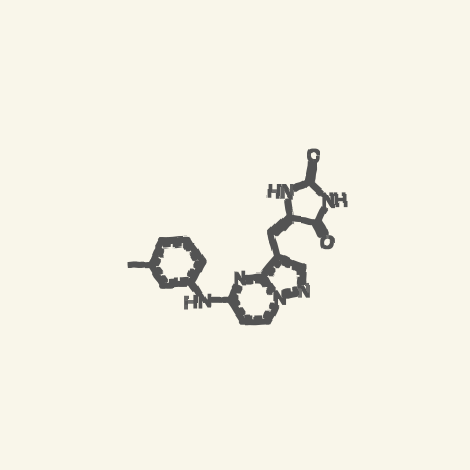 Cc1cccc(Nc2ccn3ncc(/C=C4/NC(=O)NC4=O)c3n2)c1